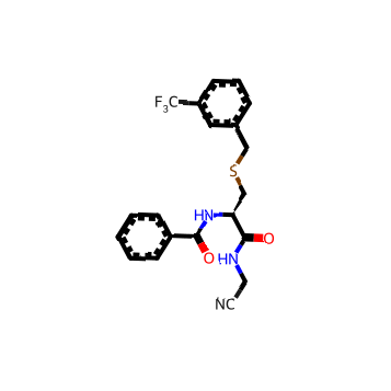 N#CCNC(=O)[C@H](CSCc1cccc(C(F)(F)F)c1)NC(=O)c1ccccc1